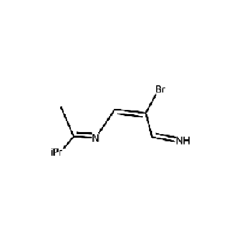 C/C(=N\C=C(\Br)C=N)C(C)C